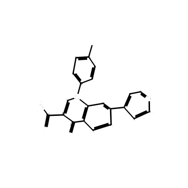 Cc1ccc(-n2cc(C(N)=O)c(=O)c3ccc(-c4ccncc4)cc32)cc1